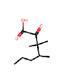 CCCC(C)C(C)(C)C(=O)C(=O)O